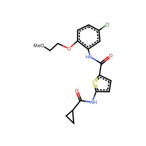 COCCOc1ccc(Cl)cc1NC(=O)c1ccc(NC(=O)C2CC2)s1